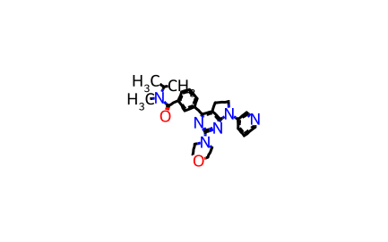 CC(C)N(C)C(=O)c1cccc(-c2nc(N3CCOCC3)nc3c2CCN3c2cccnc2)c1